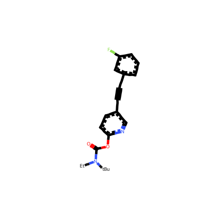 CCN(C(=O)Oc1ccc(C#Cc2cccc(F)c2)cn1)C(C)(C)C